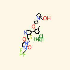 Cc1cc(Cl)cc(-c2ccnc3cc(Cn4c(=O)ccn(CC(F)(F)F)c4=O)sc23)c1OC1CC(N2CCC[C@H]2CO)C1.Cl.Cl